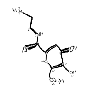 NCCNC(=O)c1cc(=O)c(O)c(C(=O)O)o1